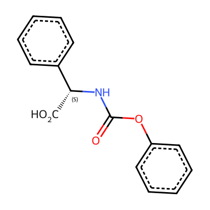 O=C(N[C@H](C(=O)O)c1ccccc1)Oc1ccccc1